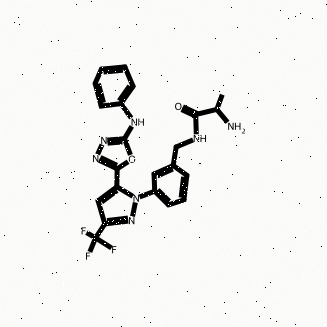 CC(N)C(=O)NCc1cccc(-n2nc(C(F)(F)F)cc2-c2nnc(Nc3ccccc3)o2)c1